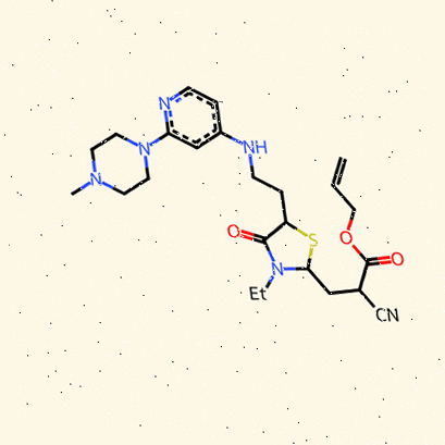 C=CCOC(=O)C(C#N)CC1SC(CCNc2ccnc(N3CCN(C)CC3)c2)C(=O)N1CC